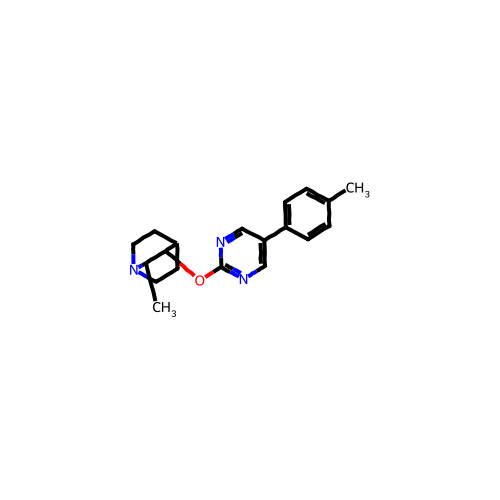 Cc1ccc(-c2cnc(OC3C4CCN(CC4)C3C)nc2)cc1